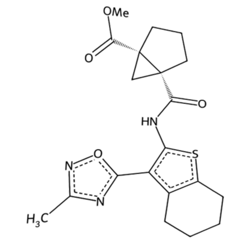 COC(=O)[C@]12CCC[C@@]1(C(=O)Nc1sc3c(c1-c1nc(C)no1)CCCC3)C2